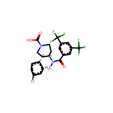 CN(C(=O)c1cc(C(F)(F)F)cc(C(F)(F)F)c1)[C@@H]1CCN(C(=O)O)C[C@H]1c1ccc(Cl)cc1